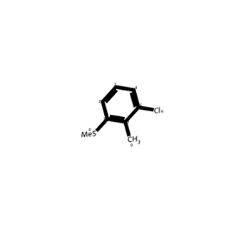 CSc1cccc(Cl)c1C